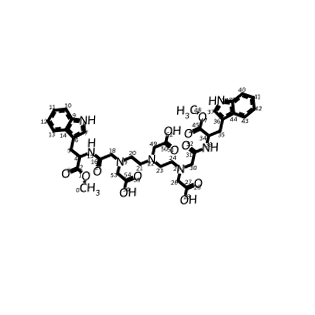 COC(=O)C(Cc1c[nH]c2ccccc12)NC(=O)CN(CCN(CCN(CC(=O)O)CC(=O)NC(Cc1c[nH]c2ccccc12)C(=O)OC)CC(=O)O)CC(=O)O